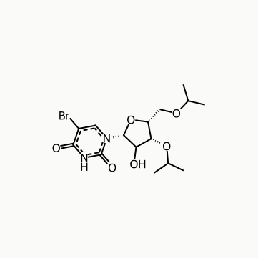 CC(C)OC[C@H]1O[C@@H](n2cc(Br)c(=O)[nH]c2=O)C(O)[C@H]1OC(C)C